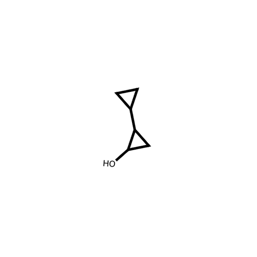 OC1CC1C1CC1